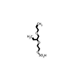 C=CCOCC(C=C)OCCOS(=O)(=O)O